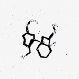 CCc1ccc(OC)cc1[C@]12CCCC[C@@H]1/C(=N/C)C2